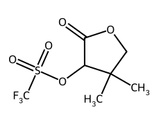 CC1(C)COC(=O)C1OS(=O)(=O)C(F)(F)F